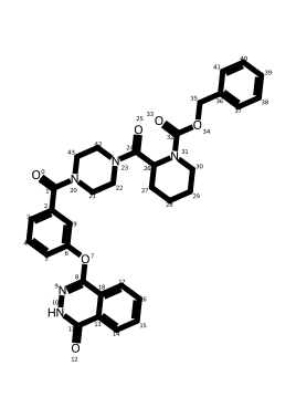 O=C(c1cccc(Oc2n[nH]c(=O)c3ccccc23)c1)N1CCN(C(=O)C2CCCCN2C(=O)OCc2ccccc2)CC1